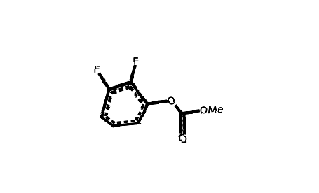 COC(=O)Oc1[c]ccc(F)c1F